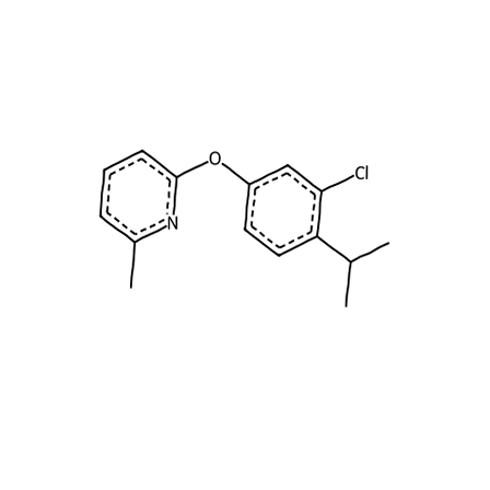 Cc1cccc(Oc2ccc(C(C)C)c(Cl)c2)n1